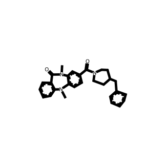 CN1C(=O)c2ccccc2N(C)c2ccc(C(=O)N3CCC(Cc4ccccc4)CC3)cc21